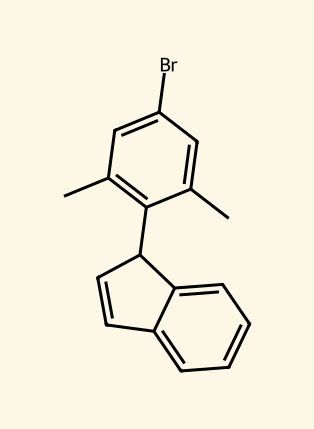 Cc1cc(Br)cc(C)c1C1C=Cc2ccccc21